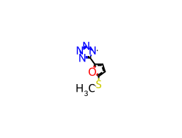 CSc1ccc(C2=NN=N[N]2)o1